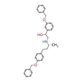 C[C@H](CCc1ccc(OCc2ccccc2)cc1)NCC(O)c1cccc(OCc2ccccc2)c1